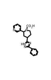 O=C(O)N1CCC(c2nc(-c3ccccc3)n[nH]2)CC1c1cccnc1